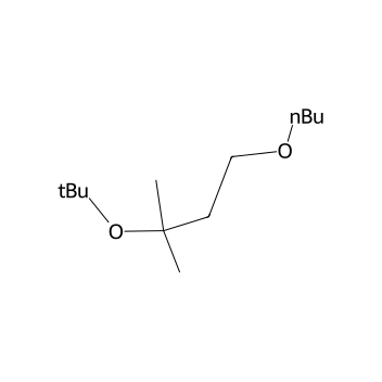 CCCCOCCC(C)(C)OC(C)(C)C